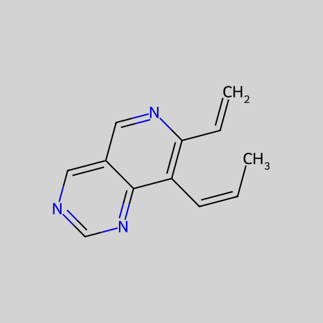 C=Cc1ncc2cncnc2c1/C=C\C